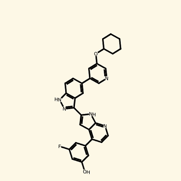 Oc1cc(F)cc(-c2ccnc3[nH]c(-c4n[nH]c5ccc(-c6cncc(OC7CCCCC7)c6)cc45)cc23)c1